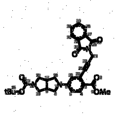 COC(=O)c1ccc(N2CC3CN(C(=O)OC(C)(C)C)CC3C2)cc1C#CCN1C(=O)c2ccccc2C1=O